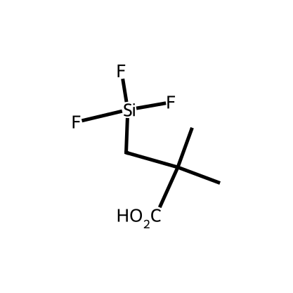 CC(C)(C[Si](F)(F)F)C(=O)O